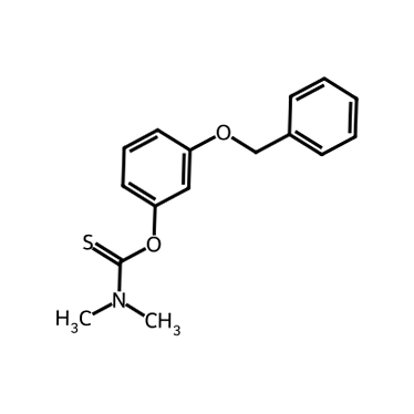 CN(C)C(=S)Oc1cccc(OCc2ccccc2)c1